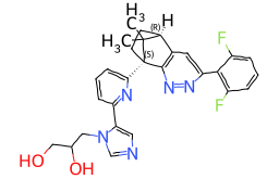 CC1(C)[C@H]2CC[C@]1(c1cccc(-c3cncn3CC(O)CO)n1)c1nnc(-c3c(F)cccc3F)cc12